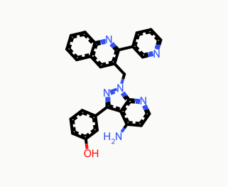 Nc1ccnc2c1c(-c1cccc(O)c1)nn2Cc1cc2ccccc2nc1-c1cccnc1